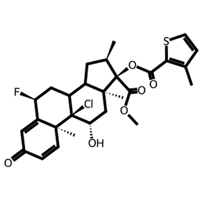 COC(=O)[C@@]1(OC(=O)c2sccc2C)[C@H](C)CC2C3C[C@H](F)C4=CC(=O)C=C[C@]4(C)[C@@]3(Cl)[C@@H](O)C[C@@]21C